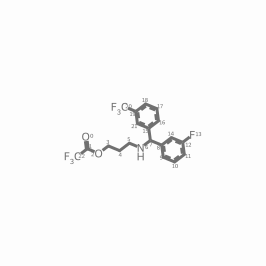 O=C(OCCCNC(c1cccc(F)c1)c1cccc(C(F)(F)F)c1)C(F)(F)F